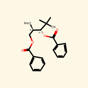 CO[C@H](COC(=O)c1ccccc1)[C@@H](OC(=O)c1ccccc1)C(C)(C)C#N